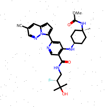 COC(=O)N[C@]1(C)CC[C@H](Nc2cc(-c3ccc4cc(C#N)cnn34)ncc2C(=O)NC[C@@H](F)C(C)(C)O)CC1